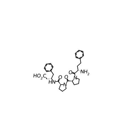 N[C@@H](CCc1ccccc1)C(=O)N1CCC[C@H]1C(=O)N1CCC[C@H]1C(=O)N[C@H](CC(=O)O)Cc1ccccc1